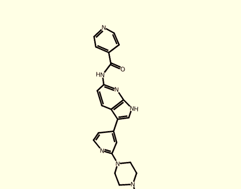 CN1CCN(c2cc(-c3c[nH]c4nc(NC(=O)c5ccncc5)ccc34)ccn2)CC1